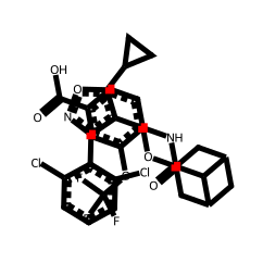 O=C(O)c1ccc(NC(=O)C2C3CC(OCc4c(-c5c(Cl)cccc5Cl)noc4C4CC4)CC2C3)c(OC(F)(F)F)c1